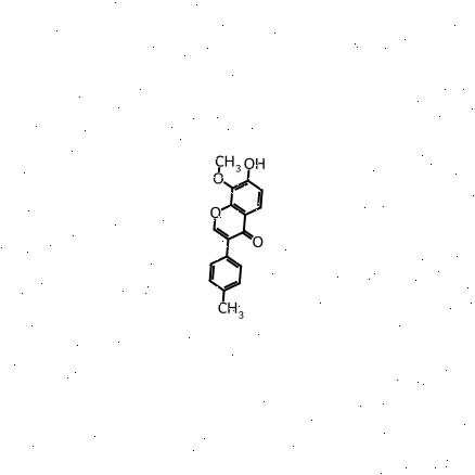 COc1c(O)ccc2c(=O)c(-c3ccc(C)cc3)coc12